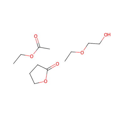 CCOC(C)=O.CCOCCO.O=C1CCCO1